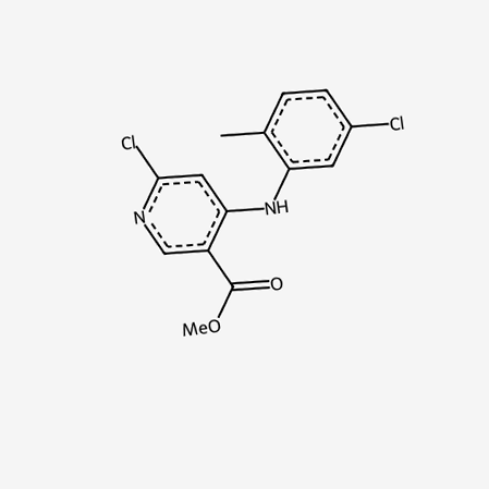 COC(=O)c1cnc(Cl)cc1Nc1cc(Cl)ccc1C